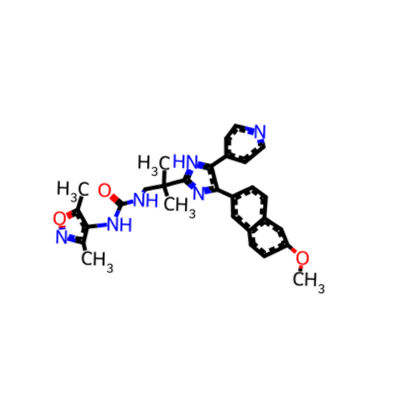 COc1ccc2cc(-c3nc(C(C)(C)CNC(=O)Nc4c(C)noc4C)[nH]c3-c3ccncc3)ccc2c1